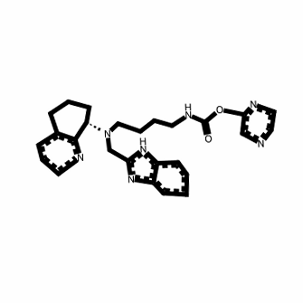 O=C(NCCCCN(Cc1nc2ccccc2[nH]1)[C@H]1CCCc2cccnc21)Oc1cnccn1